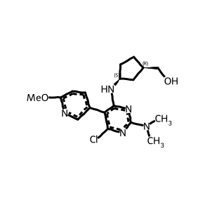 COc1ccc(-c2c(Cl)nc(N(C)C)nc2N[C@H]2CC[C@@H](CO)C2)cn1